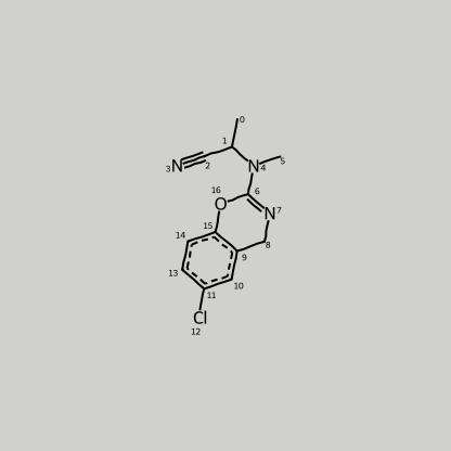 CC(C#N)N(C)C1=NCc2cc(Cl)ccc2O1